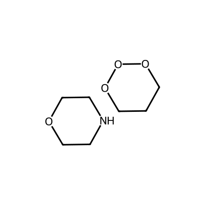 C1COCCN1.C1COOOC1